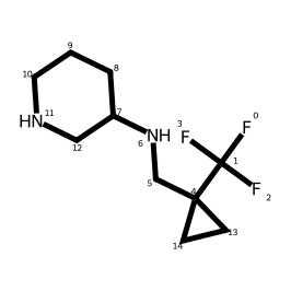 FC(F)(F)C1(CNC2CCCNC2)CC1